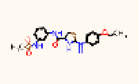 CCOc1ccc(NC2NC(C(=O)Nc3cccc(NS(C)(=O)=O)c3)CS2)cc1